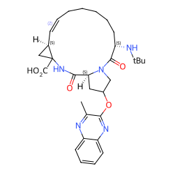 Cc1nc2ccccc2nc1OC1C[C@H]2C(=O)NC3(C(=O)O)C[C@H]3/C=C\CCCCC[C@H](NC(C)(C)C)C(=O)N2C1